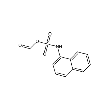 O=COS(=O)(=O)Nc1cccc2ccccc12